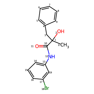 CC(O)(Cc1ccccc1)C(=O)Nc1cccc(Br)c1